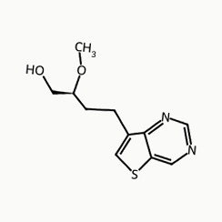 CO[C@H](CO)CCc1csc2cncnc12